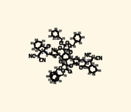 N#CC(C#N)=C1/C(=C/c2nc3c(s2)-c2cc4c(cc2C(C(=O)OCc2ccccc2)(C(=O)OCc2ccccc2)O3)-c2sc(/C=C3\C(=O)c5ccccc5C3=C(C#N)C#N)nc2OC4(C(=O)OCc2ccccc2)C(=O)OCc2ccccc2)C(=O)c2ccccc21